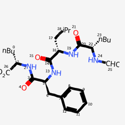 CCCC[C@H](NC(=O)[C@H](Cc1ccccc1)NC(=O)[C@H](CC(C)C)NC(=O)[C@H](CCCC)NC=O)C(=O)O